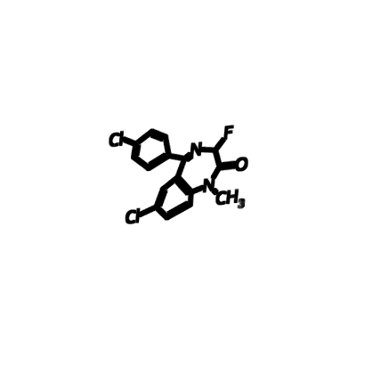 CN1C(=O)C(F)N=C(c2ccc(Cl)cc2)c2cc(Cl)ccc21